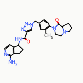 Cc1cc(Cn2cc(C(=O)NC3CCc4c3ccnc4N)nn2)ccc1N1CCN2CCCC2C1=O